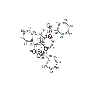 CC(C)CO[C@]12c3ccccc3[C@](C)(c3ccccc31)C(OC(=O)c1ccccc1)C2OC(=O)c1ccccc1